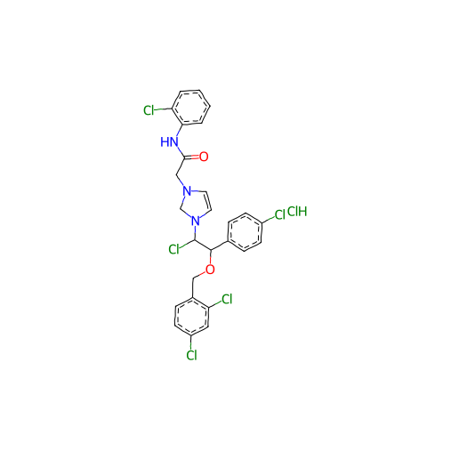 Cl.O=C(CN1C=CN(C(Cl)C(OCc2ccc(Cl)cc2Cl)c2ccc(Cl)cc2)C1)Nc1ccccc1Cl